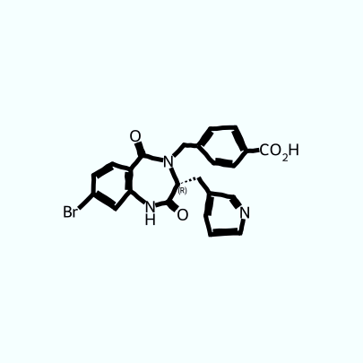 O=C(O)c1ccc(CN2C(=O)c3ccc(Br)cc3NC(=O)[C@H]2Cc2cccnc2)cc1